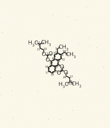 CCc1cc2c(OC(=O)OCCC(C)C)c3ccccc3c(OC(=O)OCCC(C)C)c2cc1CC